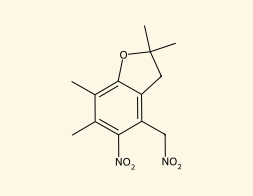 Cc1c(C)c([N+](=O)[O-])c(C[N+](=O)[O-])c2c1OC(C)(C)C2